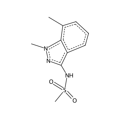 Cc1cccc2c(NS(C)(=O)=O)nn(C)c12